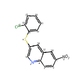 O=[N+]([O-])c1ccc2ncc(Sc3ccccc3Cl)cc2c1